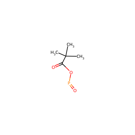 CC(C)(C)C(=O)OP=O